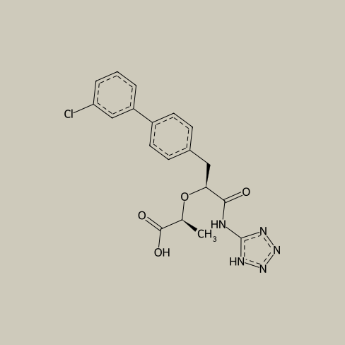 C[C@H](O[C@@H](Cc1ccc(-c2cccc(Cl)c2)cc1)C(=O)Nc1nnn[nH]1)C(=O)O